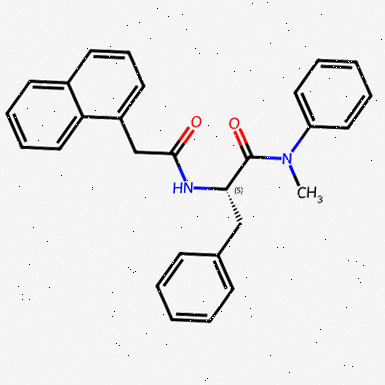 CN(C(=O)[C@H](Cc1ccccc1)NC(=O)Cc1cccc2ccccc12)c1ccccc1